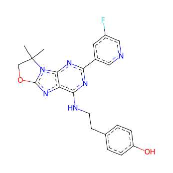 CC1(C)COc2nc3c(NCCc4ccc(O)cc4)nc(-c4cncc(F)c4)nc3n21